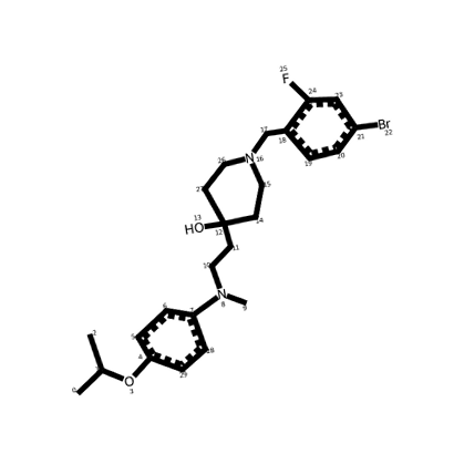 CC(C)Oc1ccc(N(C)CCC2(O)CCN(Cc3ccc(Br)cc3F)CC2)cc1